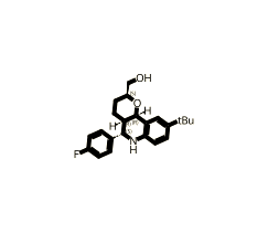 CC(C)(C)c1ccc2c(c1)[C@@H]1O[C@H](CO)CC[C@@H]1[C@@H](c1ccc(F)cc1)N2